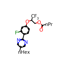 CCCCCCc1cnc(-c2ccc(OC(COC(=O)CCC)C(F)(F)F)cc2F)nc1